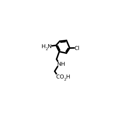 Nc1ccc(Cl)cc1CNCC(=O)O